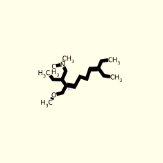 CCC(=CCC/C=C(/COC)C(CC)CN(C)C)CC